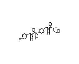 O=C(NCc1ccc(F)cc1)Nc1ccc(CNC(=O)C2CCOCC2)cc1